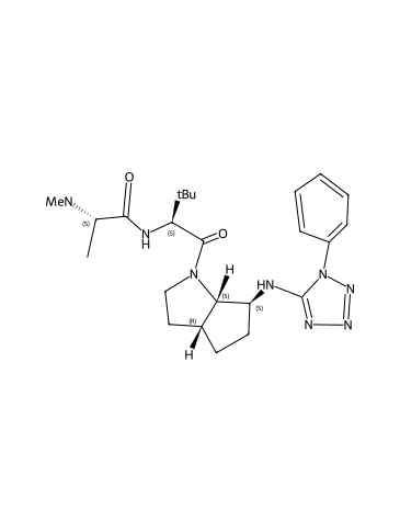 CN[C@@H](C)C(=O)N[C@H](C(=O)N1CC[C@H]2CC[C@H](Nc3nnnn3-c3ccccc3)[C@H]21)C(C)(C)C